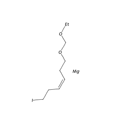 CCOCOCC/C=C\CCI.[Mg]